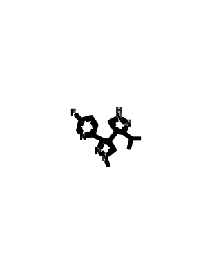 CC(C)c1n[nH]cc1-c1cn(C)nc1-c1ccc(F)cn1